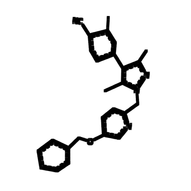 Cc1cc(-c2c(C)nn(Cc3ccc(OCc4ccccc4)cn3)c2C)ccc1C#N